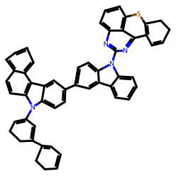 C1=CCCC(C2=CC(n3c4ccc(-c5ccc6c(c5)c5ccccc5n6-c5nc6c7c(cccc7n5)SC5=C6C=CCC5)cc4c4c5ccccc5ccc43)=CCC2)=C1